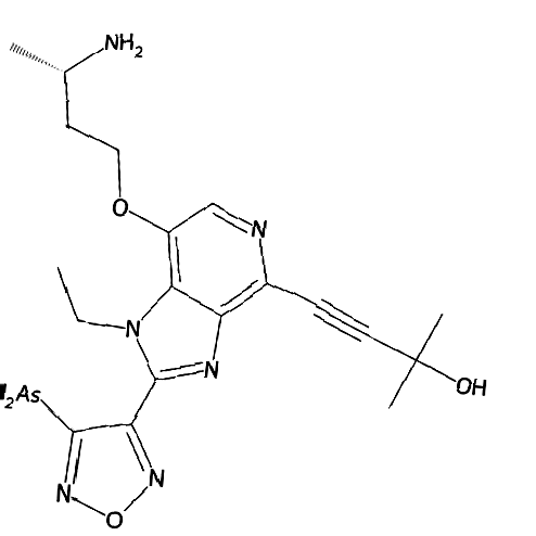 CCn1c(-c2nonc2[AsH2])nc2c(C#CC(C)(C)O)ncc(OCC[C@H](C)N)c21